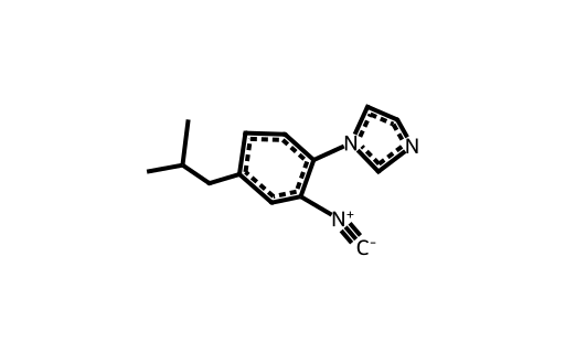 [C-]#[N+]c1cc(CC(C)C)ccc1-n1ccnc1